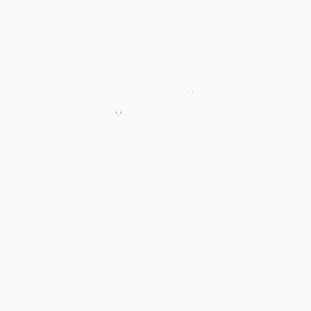 COP(=O)(CC(=O)C1CCC(C)(C)CC1)OC